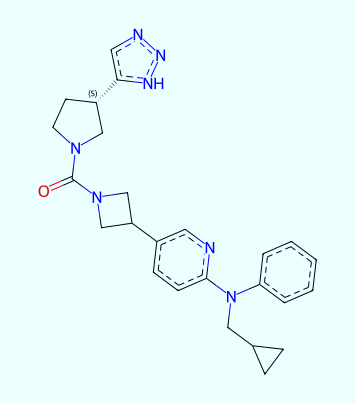 O=C(N1CC(c2ccc(N(CC3CC3)c3ccccc3)nc2)C1)N1CC[C@H](c2cnn[nH]2)C1